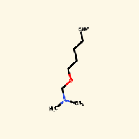 COCCCCOCN(C)C